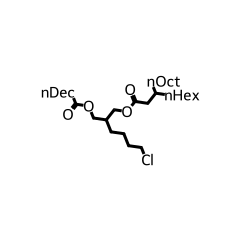 CCCCCCCCCCC(=O)OCC(CCCCCl)COC(=O)CC(CCCCCC)CCCCCCCC